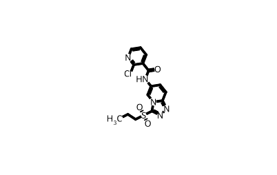 CCCS(=O)(=O)c1nnc2ccc(NC(=O)c3cccnc3Cl)cn12